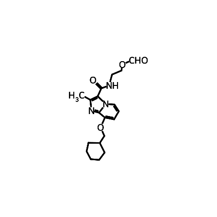 Cc1nc2c(OCC3CCCCC3)cccn2c1C(=O)NCCOC=O